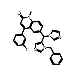 Cn1c(=O)cc(-c2cccc(Cl)c2)c2cc(C(c3cncn3Cc3ccccc3)n3ccnc3)ccc21